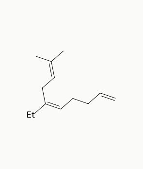 C=CCCC=C(CC)CC=C(C)C